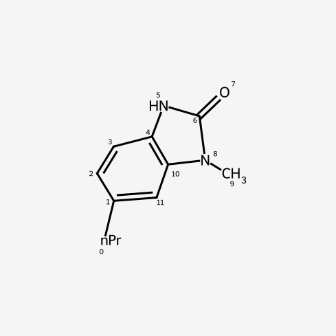 CCCc1ccc2[nH]c(=O)n(C)c2c1